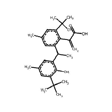 C=C(C(=O)O)c1c(C(C)c2cc(C)cc(C(C)(C)C)c2O)cc(C)cc1C(C)(C)C